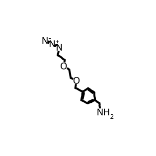 [N-]=[N+]=NCCOCCOCc1ccc(CN)cc1